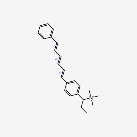 CCC(c1ccc(/C=C/C=C/C=C/c2ccccc2)cc1)[N+](C)(C)C